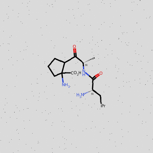 CC(C)C[C@H](N)C(=O)N[C@@H](C)C(=O)C1CCCC1(N)C(=O)O